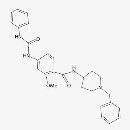 COc1cc(NC(=O)Nc2ccccc2)ccc1C(=O)NC1CCN(Cc2ccccc2)CC1